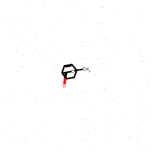 CC12C=CC(CC1)C(=O)C2